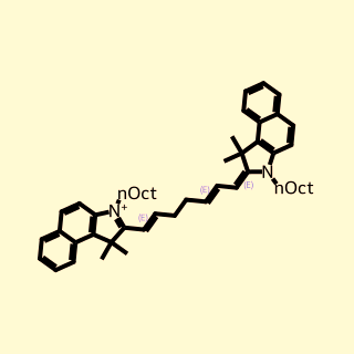 CCCCCCCCN1/C(=C/C=C/CC/C=C/C2=[N+](CCCCCCCC)c3ccc4ccccc4c3C2(C)C)C(C)(C)c2c1ccc1ccccc21